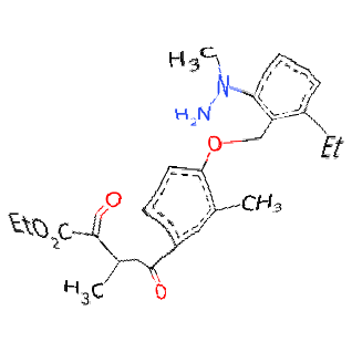 CCOC(=O)C(=O)C(C)C(=O)c1ccc(OCc2c(CC)cccc2N(C)N)c(C)c1